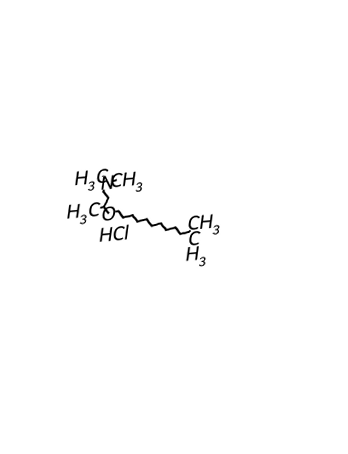 CC(C)CCCCCCCCCCOC(C)CCN(C)C.Cl